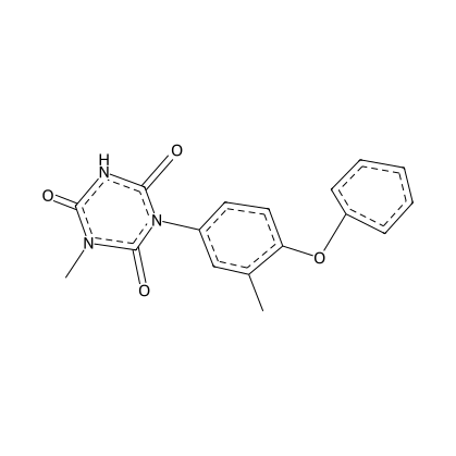 Cc1cc(-n2c(=O)[nH]c(=O)n(C)c2=O)ccc1Oc1ccccc1